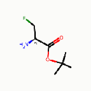 CC(C)(C)OC(=O)[C@@H](N)CF